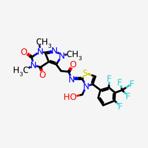 Cn1nc2c(c1CC(=O)/N=c1\scc(-c3ccc(F)c(C(F)(F)F)c3F)n1CO)c(=O)n(C)c(=O)n2C